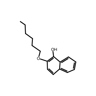 CCCCCCOc1ccc2ccccc2c1O